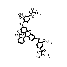 COc1cc(S(=O)(=O)N(C)C)ccc1Nc1ccc2c(-c3ccccc3S(=O)(=O)O)c3ccc(Nc4ccc(S(=O)(=O)N(C)C)cc4OC)cc3[o+]c2c1